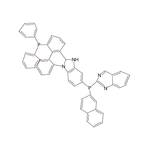 c1ccc(P(c2ccccc2)c2cccc3c2-c2ccccc2N2c4ccc(P(c5ccc6ccccc6c5)c5ncc6ccccc6n5)cc4NC32)cc1